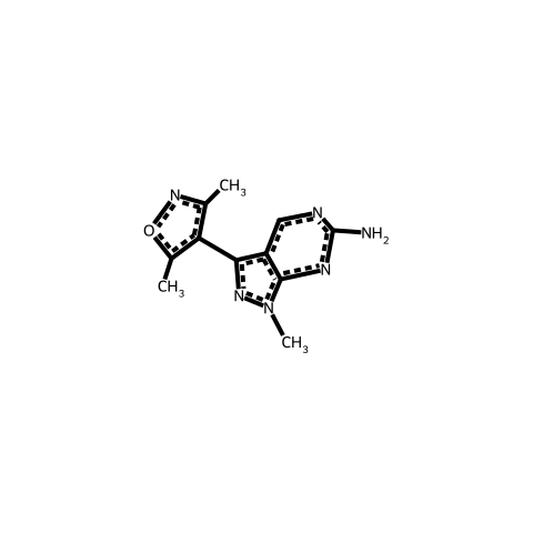 Cc1noc(C)c1-c1nn(C)c2nc(N)ncc12